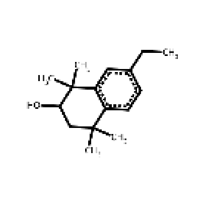 CCc1ccc2c(c1)C(C)(C)C(O)CC2(C)C